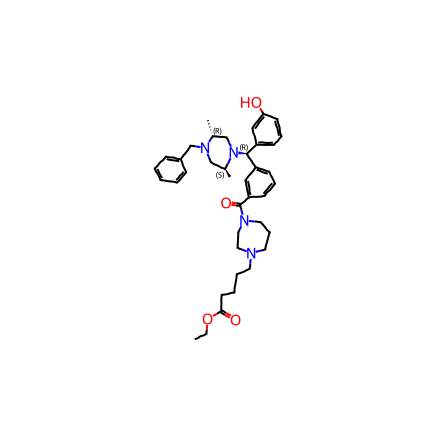 CCOC(=O)CCCCN1CCCN(C(=O)c2cccc([C@H](c3cccc(O)c3)N3C[C@@H](C)N(Cc4ccccc4)C[C@@H]3C)c2)CC1